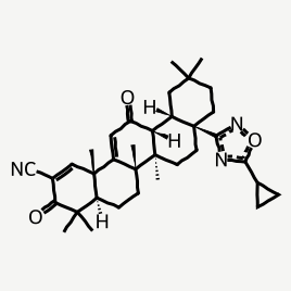 CC1(C)CC[C@]2(c3noc(C4CC4)n3)CC[C@]3(C)[C@H](C(=O)C=C4[C@@]5(C)C=C(C#N)C(=O)C(C)(C)[C@@H]5CC[C@]43C)[C@@H]2C1